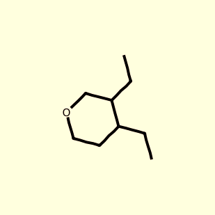 CCC1CCOCC1CC